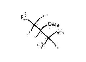 COC(C)(C(F)(F)C(F)(F)F)C(F)(C(F)(F)F)C(F)(F)F